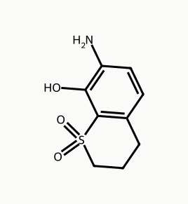 Nc1ccc2c(c1O)S(=O)(=O)CCC2